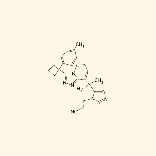 Cc1ccc(C2(c3nnc4c(C(C)(C)c5nnnn5CCC#N)cccn34)CCC2)cc1